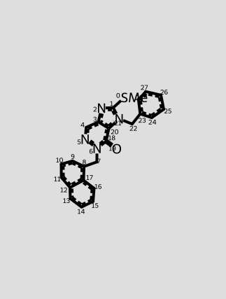 CSc1nc2cnn(Cc3cccc4ccccc34)c(=O)c2n1Cc1ccccc1